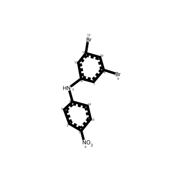 O=[N+]([O-])c1ccc(Nc2cc(Br)cc(Br)c2)cc1